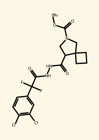 CC(C)(C)OC(=O)N1CC(C(=O)NNC(=O)C(F)(F)c2ccc(Cl)c(Cl)c2)C2(CCC2)C1